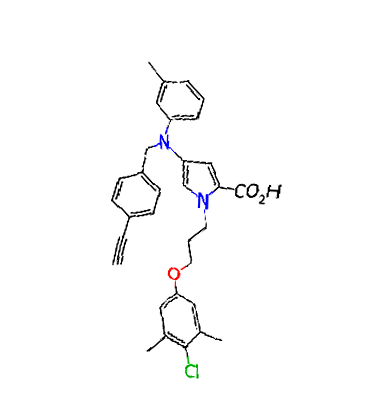 C#Cc1ccc(CN(c2cccc(C)c2)c2cc(C(=O)O)n(CCCOc3cc(C)c(Cl)c(C)c3)c2)cc1